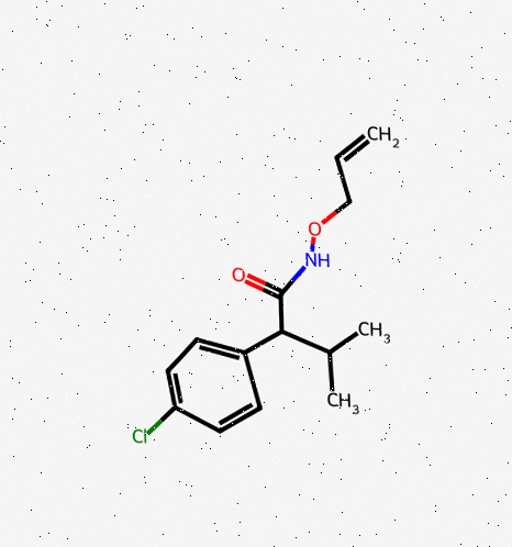 C=CCONC(=O)C(c1ccc(Cl)cc1)C(C)C